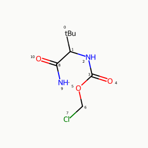 CC(C)(C)C(NC(=O)OCCl)C([NH])=O